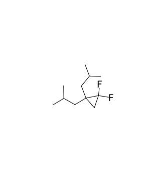 CC(C)CC1(CC(C)C)CC1(F)F